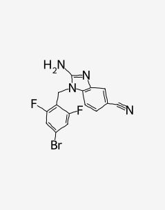 N#Cc1ccc2c(c1)nc(N)n2Cc1c(F)cc(Br)cc1F